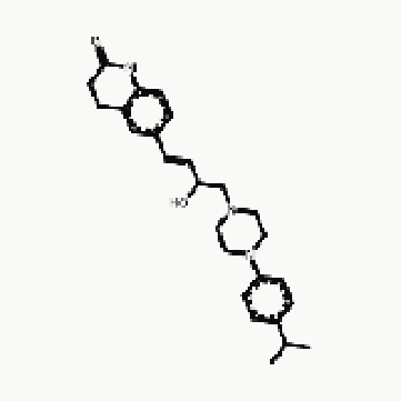 CC(C)c1ccc(N2CCN(CC(O)/C=C/c3ccc4c(c3)CCC(=O)N4)CC2)cc1